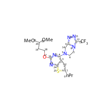 CCCc1cc2c(N3CCn4c(nnc4C(F)(F)F)C3)nc(OCCC(OC)OC)nc2s1